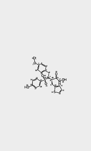 CCOc1ccc(CN([C@H](Cc2cccs2)C(=O)NO)S(=O)(=O)c2ccc(O)cc2)cc1